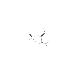 CC=C(OP(=O)(O)O)C(F)C(F)F